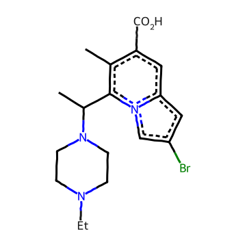 CCN1CCN(C(C)c2c(C)c(C(=O)O)cc3cc(Br)cn23)CC1